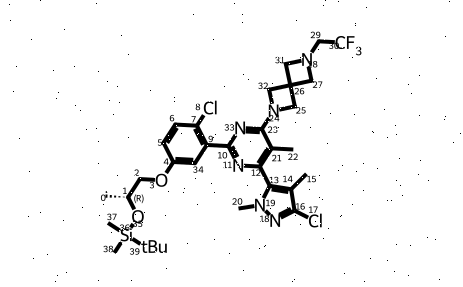 [CH2][C@H](COc1ccc(Cl)c(-c2nc(-c3c(C)c(Cl)nn3C)c(C)c(N3CC4(CN(CC(F)(F)F)C4)C3)n2)c1)O[Si](C)(C)C(C)(C)C